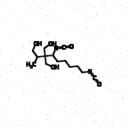 CC(CO)C(CO)(CO)C(CCCCCN=C=O)N=C=O